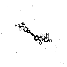 CC(C)(C)C(C(=O)O)N1CCC2(CC1)CC(C#Cc1ccc3c(c1)C(=O)N(C1CCC(=O)NC1=O)C3=O)C2